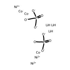 O=P([O-])([O-])[O-].O=P([O-])([O-])[O-].[Co].[Co].[Co].[LiH].[LiH].[LiH].[Ni+2].[Ni+2].[Ni+2]